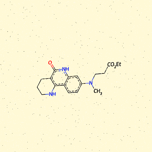 CCOC(=O)CCN(C)c1ccc2c3c(c(=O)[nH]c2c1)CCCN3